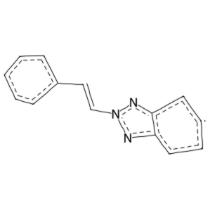 [c]1ccc2nn(C=Cc3ccccc3)nc2c1